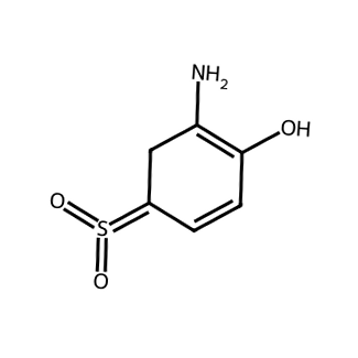 NC1=C(O)C=CC(=S(=O)=O)C1